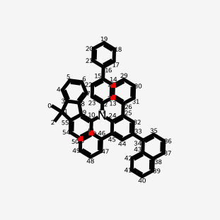 CC1(C)c2ccccc2-c2c(N(c3ccc(-c4ccccc4)cc3)c3c(-c4ccccc4)cc(-c4cccc5ccccc45)cc3-c3ccccc3)cccc21